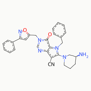 N#Cc1c(N2CCC[C@H](N)C2)n(Cc2ccccc2)c2c(=O)n(Cc3cc(-c4ccccc4)no3)cnc12